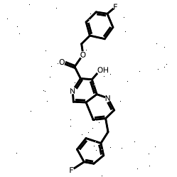 O=C(OCc1ccc(F)cc1)c1ncc2cc(Cc3ccc(F)cc3)cnc2c1O